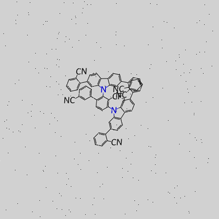 N#Cc1cccc(-c2ccc(-n3c4cc(-c5ccccc5C#N)ccc4c4ccc(-c5ccccc5C#N)cc43)c(C(F)(F)F)c2-n2c3cc(-c4ccccc4C#N)ccc3c3ccc(-c4ccccc4C#N)cc32)c1